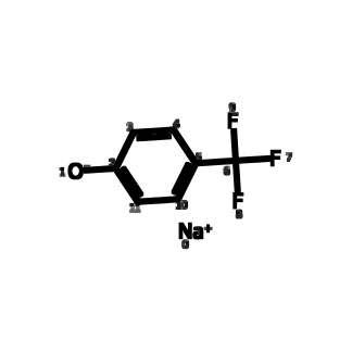 [Na+].[O-]c1ccc(C(F)(F)F)cc1